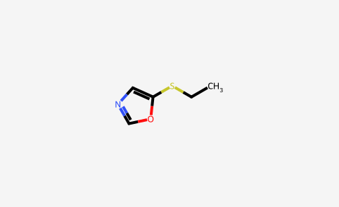 CCSc1cnco1